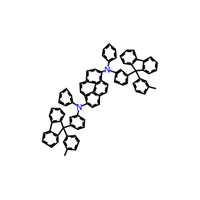 Cc1cccc(C2(c3cccc(N(c4ccccc4)c4ccc5ccc6c(N(c7ccccc7)c7cccc(C8(c9cccc(C)c9)c9ccccc9-c9ccccc98)c7)ccc7ccc4c5c76)c3)c3ccccc3-c3ccccc32)c1